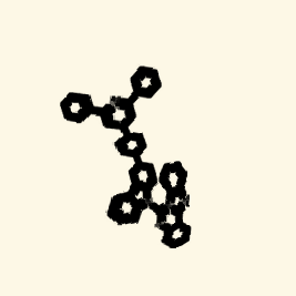 c1ccc(-c2cc(-c3ccc(-c4ccc5c(c4)c4ccccc4n5-c4nc5ccccc5c5nc6ccccc6n45)cc3)cc(-c3ccccc3)n2)cc1